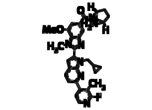 COc1cc(C(=O)N2C[C@H]3CC[C@@H]2[C@@H]3N)cc2nc(-c3cc4ccc(-c5ccnc(F)c5C)nc4n3CC3CC3)n(C)c12